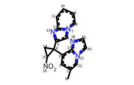 Cc1cc(C2(c3cn4ccccc4n3)CC2[N+](=O)[O-])c2n[c]cn2c1